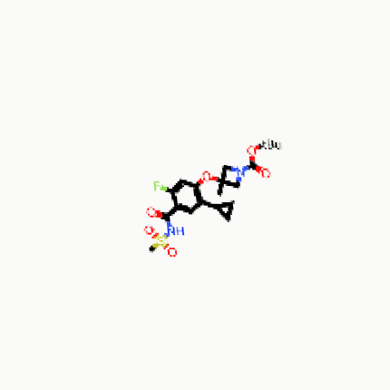 CC(C)(C)OC(=O)N1CC(C)(Oc2cc(F)c(C(=O)NS(C)(=O)=O)cc2C2CC2)C1